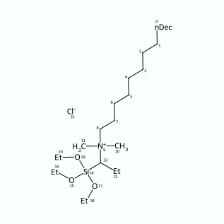 CCCCCCCCCCCCCCCCCC[N+](C)(C)C(CC)[Si](OCC)(OCC)OCC.[Cl-]